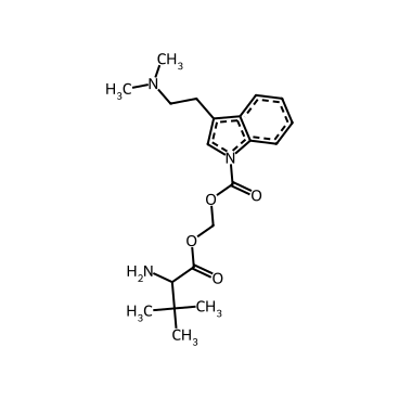 CN(C)CCc1cn(C(=O)OCOC(=O)C(N)C(C)(C)C)c2ccccc12